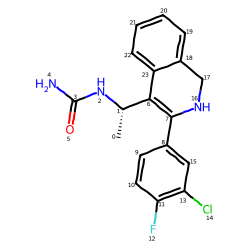 C[C@H](NC(N)=O)C1=C(c2ccc(F)c(Cl)c2)NCc2ccccc21